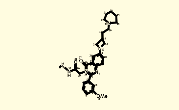 COc1cccc(-c2nc3ccc(N4CC(CCN5CCCCC5)C4)cc3c(=O)n2CC(=O)NC(C)C)c1